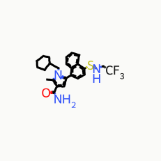 Cc1c(C(N)=O)cc(-c2ccc(SNCC(F)(F)F)c3ccccc23)n1CC1CCCCC1